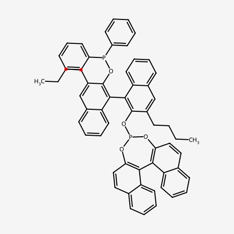 CCCCc1cc2ccccc2c(-c2c(Op3oc4ccc5ccccc5c4c4c(ccc5ccccc54)o3)c(CCCC)cc3ccccc23)c1OP(c1ccccc1)c1ccccc1